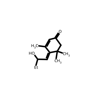 CCC(O)/C=C1\C(C)=CC(=O)CC1(C)C